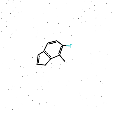 Cc1c(F)ccc2c1CC=C2